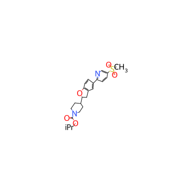 CC(C)OC(=O)N1CCC(C2Cc3cc(-c4ccc(S(C)(=O)=O)cn4)ccc3O2)CC1